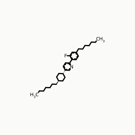 CCCCCCCc1ccc(-c2ccc([C@H]3CC[C@H](CCCCCCC)CC3)cn2)c(F)c1